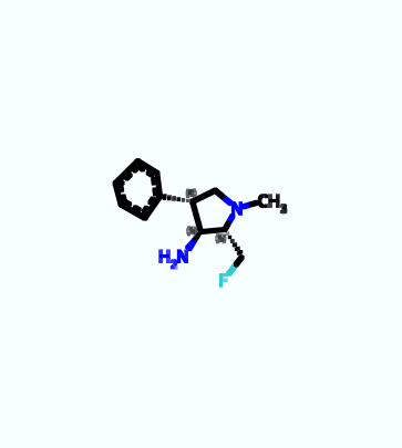 CN1C[C@@H](c2ccccc2)[C@H](N)[C@H]1CF